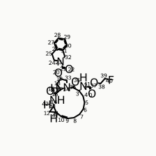 O=C(N[C@H]1CCCCC/C=C\[C@@H]2C[C@H]2NC(=O)[C@@H]2C[C@@H](OC(=O)N3CCc4ccccc4C3)CN2C1=O)OCCF